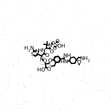 COC1(CN)CCC(NC(=N)c2ccc3c(c2)CC[C@H]([C@](C)(O/N=C(\C(=O)N[C@@H]2C(=O)N(OS(=O)(=O)O)C2(C)C)c2csc(N)n2)C(=O)O)O3)CC1